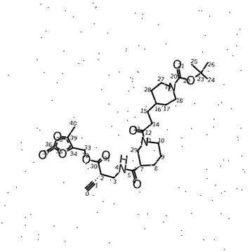 C#C[C@@H](CNC(=O)[C@@H]1CCCN(C(=O)CCC2CCN(C(=O)OC(C)(C)C)CC2)C1)C(=O)OCc1oc(=O)oc1C